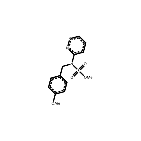 COc1ccc(CN(c2cccnn2)S(=O)(=O)OC)cc1